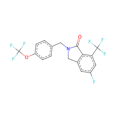 O=C1c2c(cc(F)cc2C(F)(F)F)CN1Cc1ccc(OC(F)(F)F)cc1